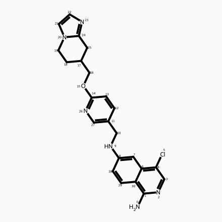 Nc1ncc(Cl)c2cc(NCc3ccc(OCC4CCn5ccnc5C4)nc3)ccc12